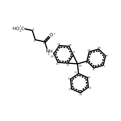 NC(=O)CCC(=O)O.c1ccc(C2(c3ccccc3)c3ccccc32)cc1